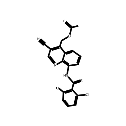 CC(=O)OCc1c(C#N)cnc2c(NC(=O)c3c(Cl)cccc3Cl)cccc12